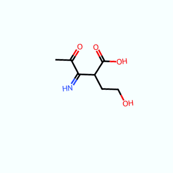 CC(=O)C(=N)C(CCO)C(=O)O